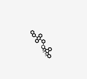 C1=c2sc3c4sc5ccccc5c4c4ccccc4c3c2=CC(c2cccc(-c3c4ccccc4c(-c4ccc5ccccc5c4)c4ccccc34)c2)C1